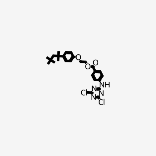 CC(C)(C)CC(C)(C)c1ccc(OCCOC(=O)c2ccc(Nc3nc(Cl)nc(Cl)n3)cc2)cc1